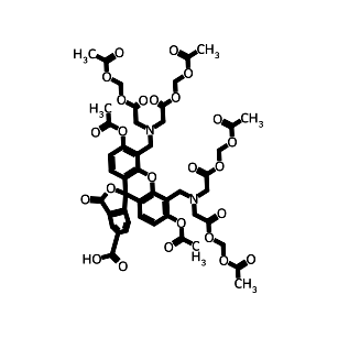 CC(=O)OCOC(=O)CN(CC(=O)OCOC(C)=O)Cc1c(OC(C)=O)ccc2c1Oc1c(ccc(OC(C)=O)c1CN(CC(=O)OCOC(C)=O)CC(=O)OCOC(C)=O)C21OC(=O)c2cc(C(=O)O)ccc21